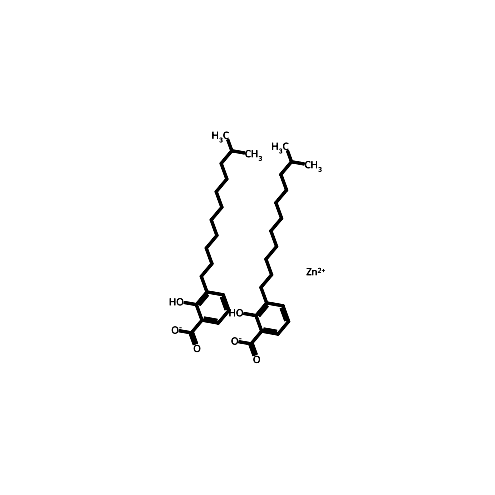 CC(C)CCCCCCCCCc1cccc(C(=O)[O-])c1O.CC(C)CCCCCCCCCc1cccc(C(=O)[O-])c1O.[Zn+2]